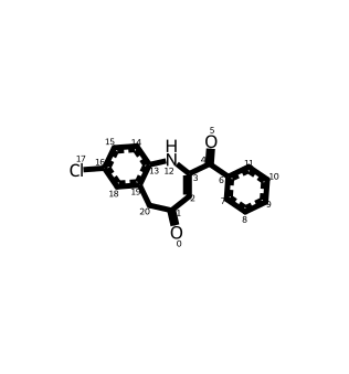 O=C1C=C(C(=O)c2ccccc2)Nc2ccc(Cl)cc2C1